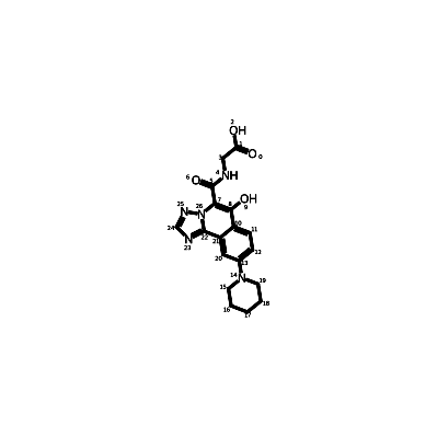 O=C(O)CNC(=O)c1c(O)c2ccc(N3CCCCC3)cc2c2ncnn12